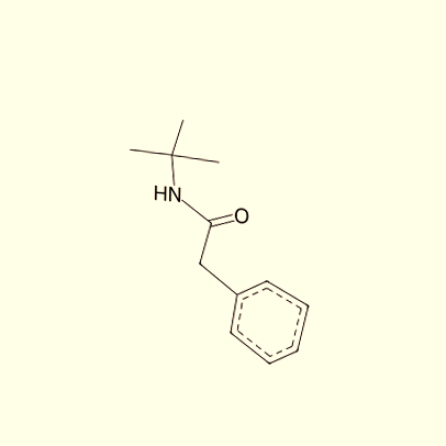 CC(C)(C)NC(=O)Cc1ccccc1